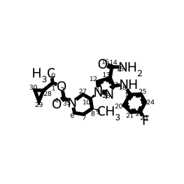 CC(OC(=O)N1CC[C@@H](C)[C@H](n2cc(C(N)=O)c(Nc3ccc(F)cc3)n2)C1)C1CC1